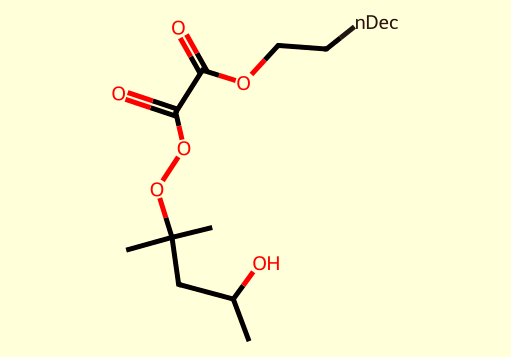 CCCCCCCCCCCCOC(=O)C(=O)OOC(C)(C)CC(C)O